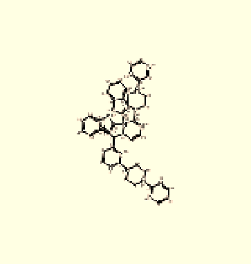 N#CC(c1ccnc(N2CCN(c3ncccn3)CC2)n1)C1C=CN=C(N2CCN(c3cnccn3)CC2)[N+]1(c1nc2ccccc2s1)c1nc2ccccc2s1